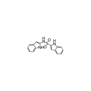 O=S(=O)(Nc1cc2ccccc2[nH]1)c1cc2ccccc2[nH]1